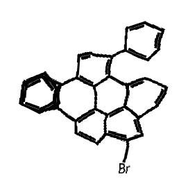 Brc1cc2cccc3c4c(-c5ccccc5)ccc(-c5ccccc5)c4c4c(-c5ccccc5)ccc1c4c23